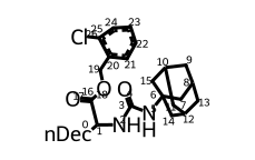 CCCCCCCCCCC(NC(=O)NC12CC3CC(CC(C3)C1)C2)C(=O)OCc1ccccc1Cl